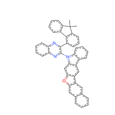 CC1(C)c2ccccc2-c2c(-c3nc4ccccc4nc3-n3c4ccccc4c4cc5c(cc43)oc3cc4ccccc4cc35)cccc21